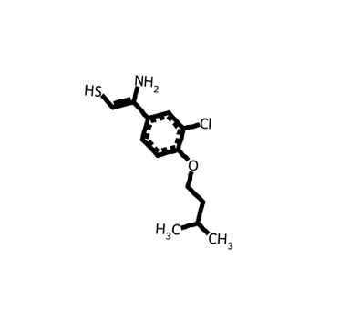 CC(C)CCOc1ccc(/C(N)=C/S)cc1Cl